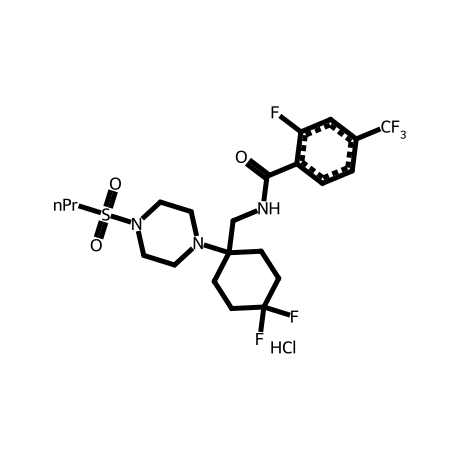 CCCS(=O)(=O)N1CCN(C2(CNC(=O)c3ccc(C(F)(F)F)cc3F)CCC(F)(F)CC2)CC1.Cl